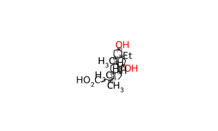 CC[C@]12C[C@H](O)CC[C@]1(C)[C@H]1CC[C@]3(C)[C@@H]([C@H](C)CCC(=O)O)CC[C@H]3[C@@H]1[C@H](O)C2